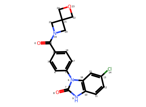 O=C(c1ccc(-n2c(=O)[nH]c3ccc(Cl)cc32)cc1)N1CC2(COC2)C1